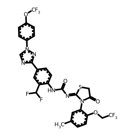 Cc1ccc(OCC(F)(F)F)c(N2C(=O)CS/C2=N\C(=O)Nc2ccc(-c3ncn(-c4ccc(OC(F)(F)F)cc4)n3)cc2C(F)F)c1